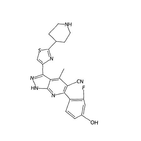 Cc1c(C#N)c(-c2ccc(O)cc2F)nc2[nH]nc(-c3csc(C4CCNCC4)n3)c12